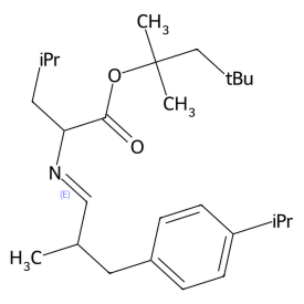 CC(C)CC(/N=C/C(C)Cc1ccc(C(C)C)cc1)C(=O)OC(C)(C)CC(C)(C)C